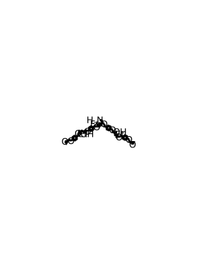 CCC(C)(CC(O)COc1ccc(COC(CN)C(C)(C)C(C)(CC)OCc2ccc(OCC(O)CC(C)(CC)OCc3ccc(OCC4CO4)cc3)cc2)cc1)OCc1ccc(OCC2CO2)cc1